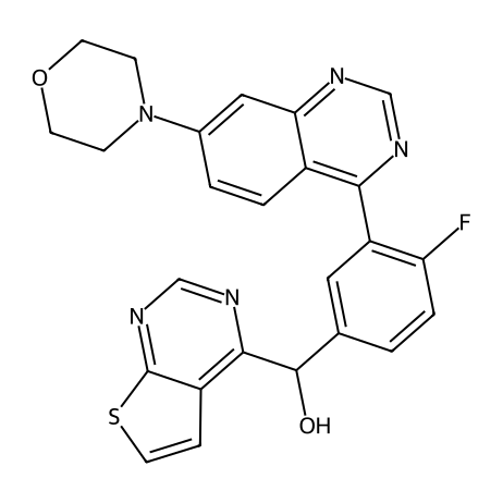 OC(c1ccc(F)c(-c2ncnc3cc(N4CCOCC4)ccc23)c1)c1ncnc2sccc12